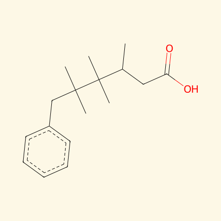 CC(CC(=O)O)C(C)(C)C(C)(C)Cc1ccccc1